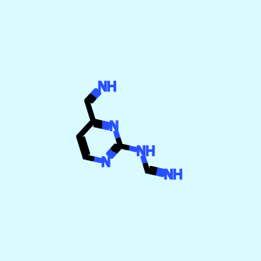 N=CNc1nccc(C=N)n1